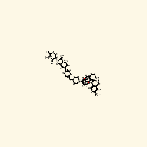 O=C1CC[C@H](N2Cc3cc(N4CCN(CC5CCN(c6ccc([C@H]7c8ccc(O)cc8CO[C@@]78CCCc7ccccc78)cc6)CC5)CC4)ccc3C2=O)C(=O)N1